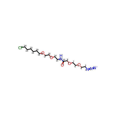 [N-]=[N+]=NCCOCCOCC(=O)NCCOCCOCCCCCCCl